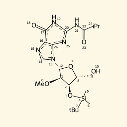 CO[C@@H]1[C@H](O[Si](C)(C)C(C)(C)C)[C@@H](CO)O[C@H]1n1cnc2c(=O)[nH]c(NC(=O)C(C)C)nc21